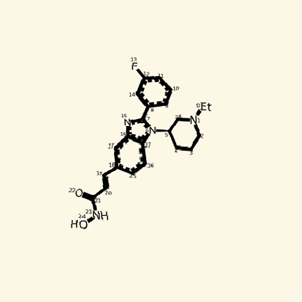 CCN1CCC[C@@H](n2c(-c3cccc(F)c3)nc3cc(/C=C/C(=O)NO)ccc32)C1